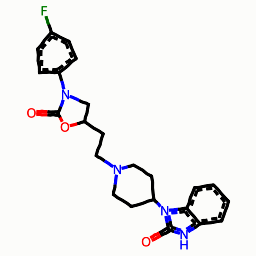 O=C1OC(CCN2CCC(n3c(=O)[nH]c4ccccc43)CC2)CN1c1ccc(F)cc1